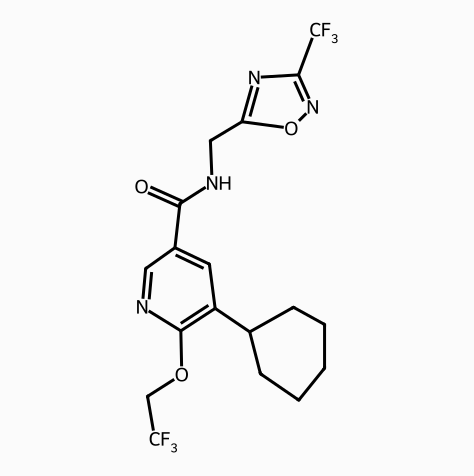 O=C(NCc1nc(C(F)(F)F)no1)c1cnc(OCC(F)(F)F)c(C2CCCCC2)c1